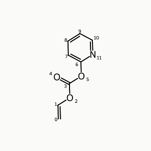 C=COC(=O)Oc1ccccn1